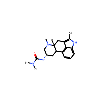 CCN(CC)C(=O)N[C@H]1CC2c3cccc4[nH]c(C(C)=O)c(c34)C[C@H]2N(C)C1